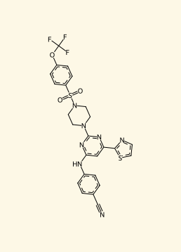 N#Cc1ccc(Nc2cc(-c3nccs3)nc(N3CCN(S(=O)(=O)c4ccc(OC(F)(F)F)cc4)CC3)n2)cc1